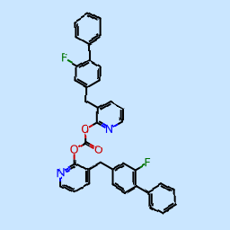 O=C(Oc1ncccc1Cc1ccc(-c2ccccc2)c(F)c1)Oc1ncccc1Cc1ccc(-c2ccccc2)c(F)c1